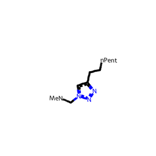 CCCCCCCc1cn(CNC)nn1